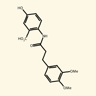 COc1ccc(CCC(=O)Nc2ccc(O)cc2C(=O)O)cc1OC